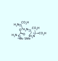 CC[C@H](C)[C@H](N)C(=O)OC[C@H](N)C(=O)O.CSCC[C@H](N)C(=O)O.C[C@H](N)C(=O)O